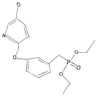 CCOP(=O)(Cc1cccc(Oc2ccc(Cl)cn2)c1)OCC